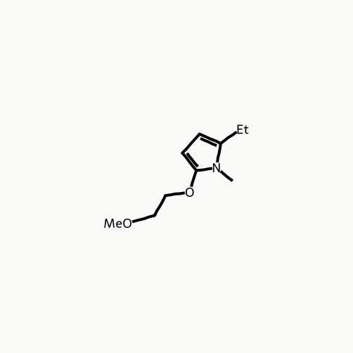 CCc1ccc(OCCOC)n1C